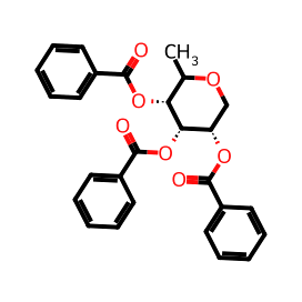 CC1OC[C@H](OC(=O)c2ccccc2)[C@H](OC(=O)c2ccccc2)[C@@H]1OC(=O)c1ccccc1